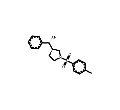 Cc1ccc(S(=O)(=O)N2CC[C@@H]([C@@H](C#N)c3ccccc3)C2)cc1